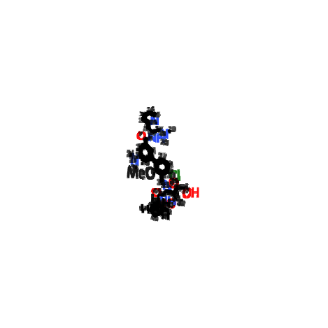 COc1c(-c2cc(C(=O)N[C@@H](Cc3ccccn3)CN(C)C)cc(N(C)C)c2)ccc(Cl)c1CN1O[C@@H](CO)[C@@H]([C@H](C)O)[C@H]1C(=O)N[C@H]1C[C@H]2C[C@@H]([C@@H]1C)C2(C)C